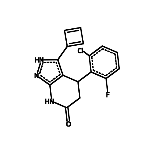 O=C1CC(c2c(F)cccc2Cl)c2c(n[nH]c2C2=CC=C2)N1